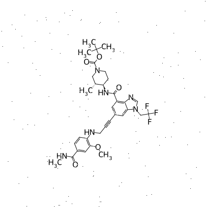 CNC(=O)c1ccc(NCC#Cc2cc(C(=O)N[C@@H]3CCN(C(=O)OC(C)(C)C)C[C@H]3C)c3ncn(CC(F)(F)F)c3c2)c(OC)c1